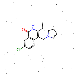 CCc1[nH]c(=O)c2cc(Cl)ccc2c1CN1CCCC1